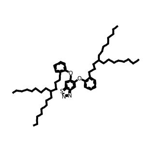 CCCCCCCCC(CCCCCCCC)CCCc1ccccc1Oc1cc2nnsc2cc1Oc1ccccc1CCCC(CCCCCCCC)CCCCCCCC